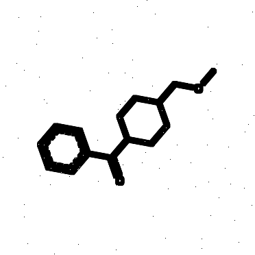 COCC1CCC(C(=O)c2ccccc2)CC1